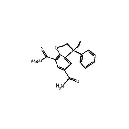 CNC(=O)c1cc(C(N)=O)cc2c1OCC2(C)c1ccccc1